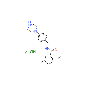 CC(C)[C@@H]1CC[C@@H](C)C[C@H]1C(=O)NCc1ccc(N2CCNCC2)cc1.Cl.Cl